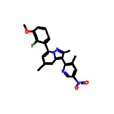 COc1cccc(-c2cc(C)cc3c(-c4ncc([N+](=O)[O-])cc4C)c(C)nn23)c1F